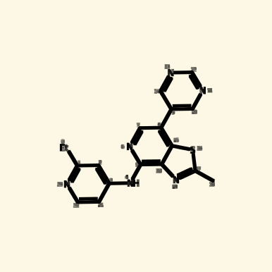 CCc1cc(Nc2ncc(-c3cncnc3)c3sc(C)nc23)ccn1